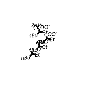 CCCCC(CC)C(=O)[O-].CCCCC(CC)C(=O)[O-].CCCCC(CC)C(=O)[O-].CCCCC(CC)C(=O)[O-].[Co+2].[Zn+2]